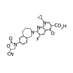 N#CC1CN(c2ccc3c(c2)CCCN(c2nc4c(cc2F)c(=O)c(C(=O)O)cn4C2CC2)C3)C(=O)O1